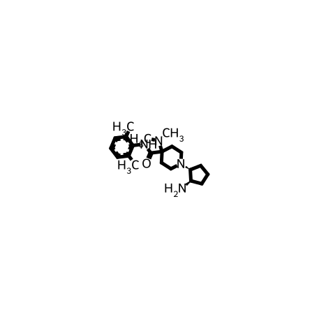 Cc1cccc(C)c1NC(=O)C1(N(C)C)CCN([C@@H]2CCC[C@H]2N)CC1